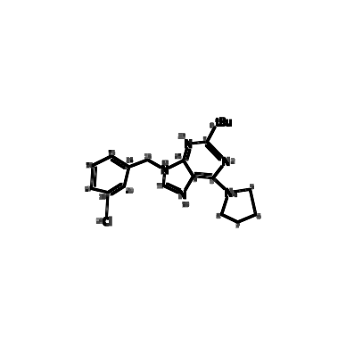 CC(C)(C)c1nc(N2CCCC2)c2ncn(Cc3cccc(Cl)c3)c2n1